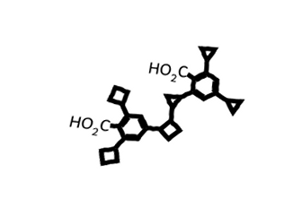 O=C(O)c1c(C2CCC2)cc(C2CCC2C2CC2c2cc(C3CC3)cc(C3CC3)c2C(=O)O)cc1C1CCC1